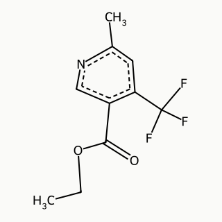 CCOC(=O)c1cnc(C)cc1C(F)(F)F